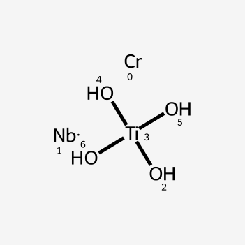 [Cr].[Nb].[OH][Ti]([OH])([OH])[OH]